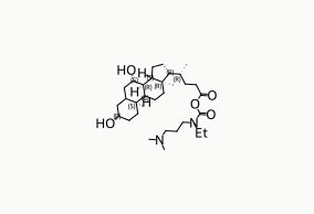 CCN(CCCN(C)C)C(=O)OC(=O)CC[C@@H](C)[C@H]1CC[C@H]2[C@@H]3[C@@H](O)CC4C[C@H](O)CC[C@]4(C)[C@H]3CC[C@]12C